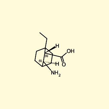 CCC12CCC(CC1)[C@H](N)[C@H]2C(=O)O